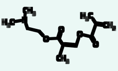 C=C(C)C(=O)OC=C(C)C(=O)OCCN(C)C